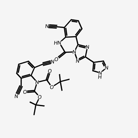 CC(C)(C)OC(=O)N(C(=O)OC(C)(C)C)c1c(C#N)cccc1C#N.N#Cc1cccc2c1[nH]c(=O)n1nc(-c3cn[nH]c3)nc21